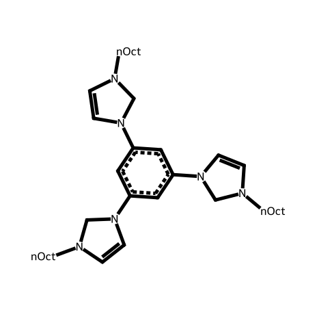 CCCCCCCCN1C=CN(c2cc(N3C=CN(CCCCCCCC)C3)cc(N3C=CN(CCCCCCCC)C3)c2)C1